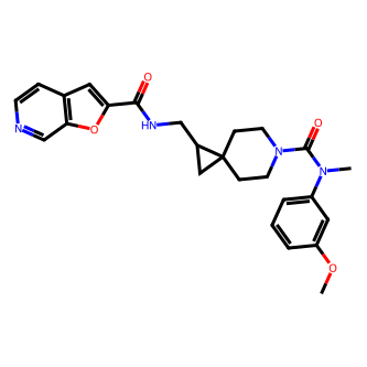 COc1cccc(N(C)C(=O)N2CCC3(CC2)CC3CNC(=O)c2cc3ccncc3o2)c1